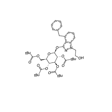 CC(C)(C)C(=O)OC[C@H]1O[C@@H](Oc2nn(CCO)c3cccc(Cc4ccccc4)c23)[C@H](OC(=O)C(C)(C)C)[C@@H](OC(=O)C(C)(C)C)[C@@H]1OC(=O)C(C)(C)C